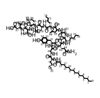 CCCCCCCCCCCCCCCC(=O)N[C@@H](CCSC)C(=O)NCC(=O)N[C@@H](Cc1ccc(O)cc1)C(=O)N[C@@H](CCC(N)=O)C(=O)N[C@@H](CCCCC)C(=O)N[C@@H](C)C(=O)N[C@H]1CC(C)N([C@@H](CCCC)C(=O)N[C@@H](CO)C(=O)N[C@@H](CCSC)C(=O)N[C@H](C(=O)N[C@@H](CC(=O)O)C(C)=O)[C@@H](C)O)C1=O